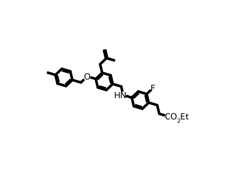 C=C(C)Cc1cc(CNc2ccc(CCC(=O)OCC)c(F)c2)ccc1OCc1ccc(C)cc1